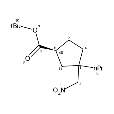 CCCC1(C[N+](=O)[O-])CC[C@H](C(=O)OC(C)(C)C)C1